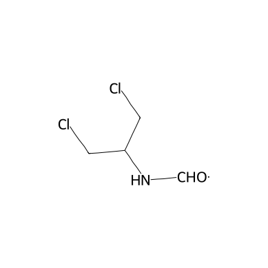 O=[C]NC(CCl)CCl